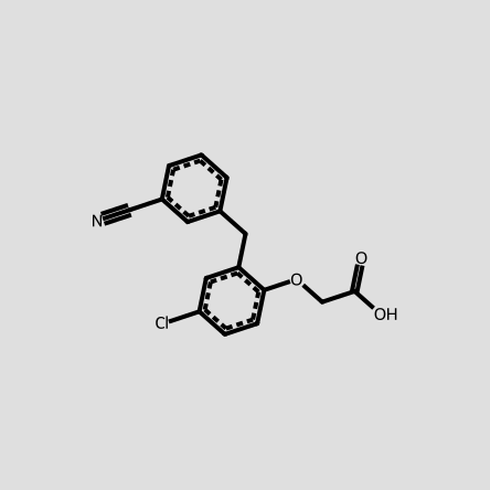 N#Cc1cccc(Cc2cc(Cl)ccc2OCC(=O)O)c1